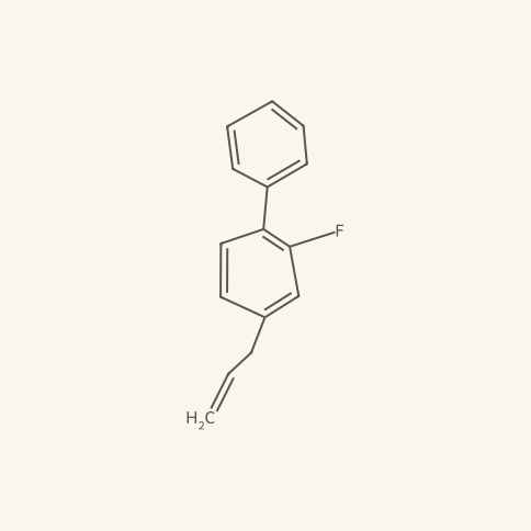 C=CCc1ccc(-c2ccccc2)c(F)c1